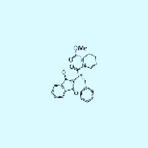 COC(=O)[C@@H]1CCC=CN1C(=O)[C@H](Cc1ccccc1)N1C(=O)c2ccccc2C1=O